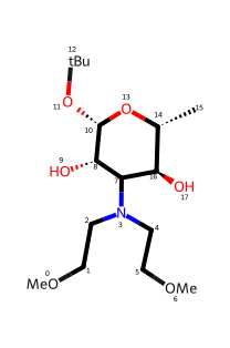 COCCN(CCOC)C1[C@H](O)[C@H](OC(C)(C)C)O[C@H](C)[C@H]1O